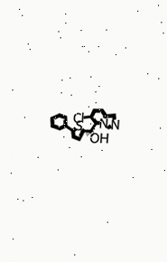 O[C@@H](c1ccc(-c2ccccc2)s1)c1c(Cl)ccc2cncn12